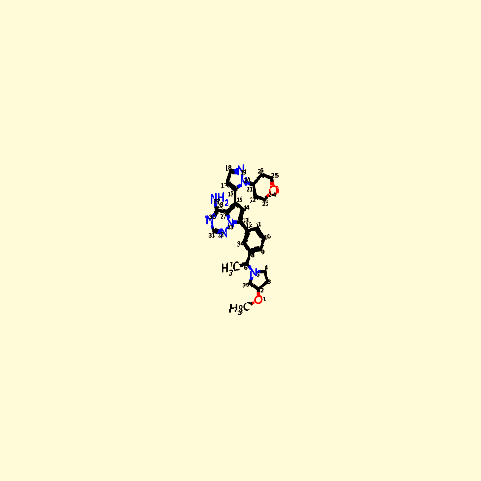 COC1CCN(C(C)c2cccc(-c3cc(-c4ccnn4C4CCOCC4)c4c(N)ncnn34)c2)C1